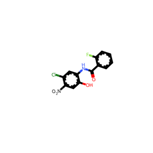 O=C(Nc1cc(Cl)c([N+](=O)[O-])cc1O)c1ccccc1F